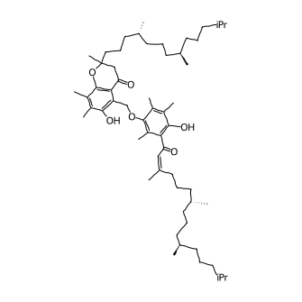 C/C(=C/C(=O)c1c(C)c(OCc2c(O)c(C)c(C)c3c2C(=O)CC(C)(CCC[C@H](C)CCC[C@H](C)CCCC(C)C)O3)c(C)c(C)c1O)CCC[C@H](C)CCC[C@H](C)CCCC(C)C